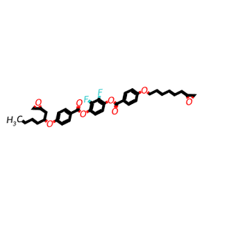 CCCCC(CC1CO1)Oc1ccc(C(=O)Oc2ccc(OC(=O)c3ccc(OCCCCCCC4CO4)cc3)c(F)c2F)cc1